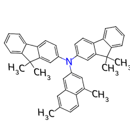 Cc1ccc2c(C)cc(N(c3ccc4c(c3)C(C)(C)c3ccccc3-4)c3ccc4c(c3)C(C)(C)c3ccccc3-4)cc2c1